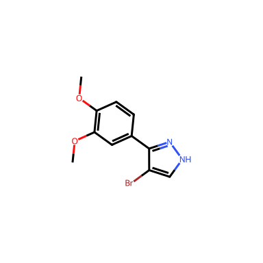 COc1ccc(-c2n[nH]cc2Br)cc1OC